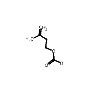 C=C(C)CCOC([O])=O